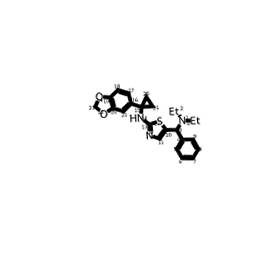 CCN(CC)C(c1ccccc1)c1cnc(NC2(c3ccc4c(c3)OCO4)CC2)s1